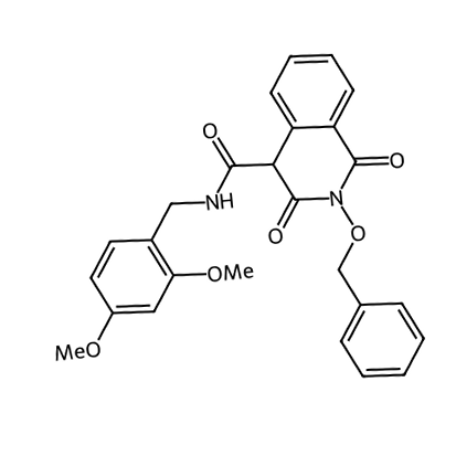 COc1ccc(CNC(=O)C2C(=O)N(OCc3ccccc3)C(=O)c3ccccc32)c(OC)c1